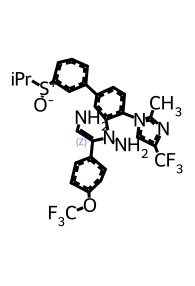 Cc1nc(C(F)(F)F)cn1-c1ccc(-c2cccc([S+]([O-])C(C)C)c2)cc1N(N)/C(=C\N)c1ccc(OC(F)(F)F)cc1